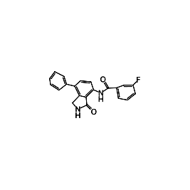 O=C(Nc1ccc(-c2ccccc2)c2c1C(=O)NC2)c1cccc(F)c1